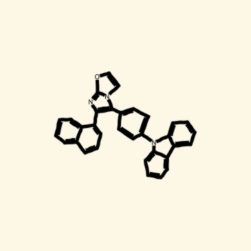 c1ccc2c(-c3nc4occn4c3-c3ccc(-n4c5ccccc5c5ccccc54)cc3)cccc2c1